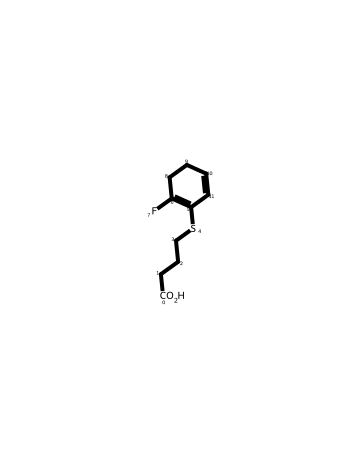 O=C(O)CCCSC1=C(F)CCC=C1